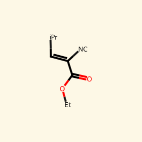 [C-]#[N+]/C(=C\C(C)C)C(=O)OCC